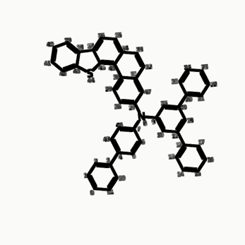 c1ccc(-c2ccc(N(c3cc(-c4ccccc4)cc(-c4ccccc4)c3)c3ccc4c(ccc5ccc6c7ccccc7sc6c54)c3)cc2)cc1